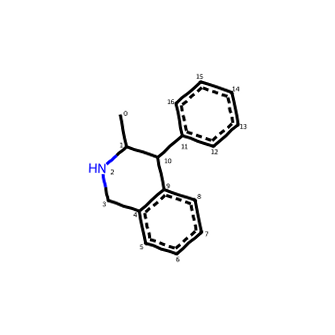 CC1NCc2ccccc2C1c1ccccc1